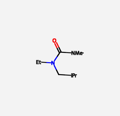 CCN(CC(C)C)C(=O)[N]C